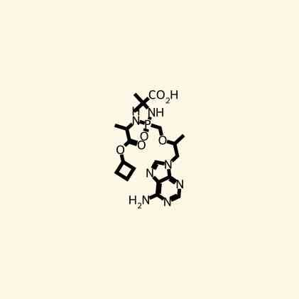 CC(Cn1cnc2c(N)ncnc21)OCP(=O)(NC(C)C(=O)OC1CCC1)NC(C)(C)C(=O)O